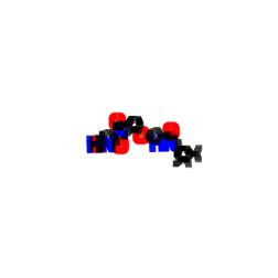 Cc1cc(CNC(=O)C2CCC(Oc3cccc4c3CN(C3CCC(=O)NC3=O)C4=O)CC2)cc(C(C)C)c1C